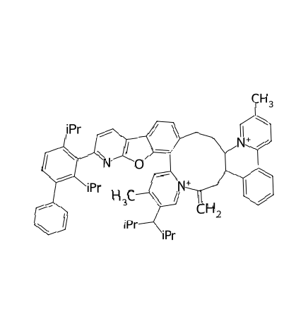 C=C1CC2c3ccccc3-c3ccc(C)c[n+]3C2CCc2ccc3c(oc4nc(-c5c(C(C)C)ccc(-c6ccccc6)c5C(C)C)ccc43)c2-c2cc(C)c(C(C(C)C)C(C)C)c[n+]21